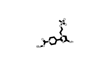 CCCc1cn(CCOS(C)(=O)=O)c(C2CCN(C(=O)OC(C)(C)C)CC2)n1